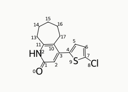 O=c1cc(-c2ccc(Cl)s2)c2c([nH]1)CCCCC2